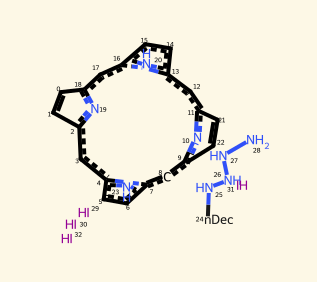 C1=Cc2cc3ccc(cc4nc(cc5ccc(cc1n2)[nH]5)C=C4)[nH]3.CCCCCCCCCCNNNN.I.I.I.I